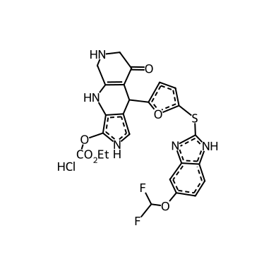 CCOC(=O)Oc1[nH]cc2c1NC1=C(C(=O)CNC1)C2c1ccc(Sc2nc3cc(OC(F)F)ccc3[nH]2)o1.Cl